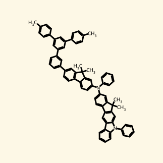 Cc1ccc(-c2cc(-c3ccc(C)cc3)cc(-c3cccc(-c4ccc5c(c4)C(C)(C)c4cc(N(c6ccccc6)c6ccc7c(c6)C(C)(C)c6cc8c(cc6-7)c6ccccc6n8-c6ccccc6)ccc4-5)c3)c2)cc1